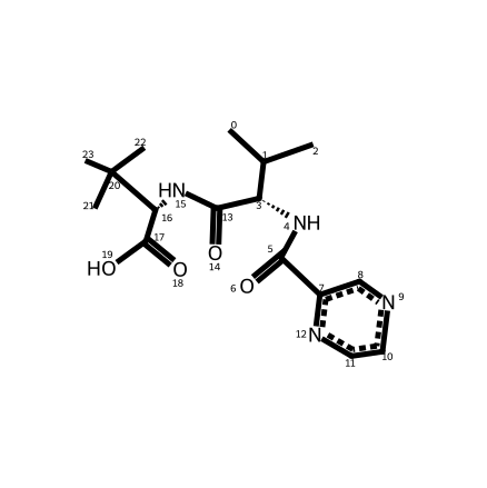 CC(C)[C@H](NC(=O)c1cnccn1)C(=O)N[C@H](C(=O)O)C(C)(C)C